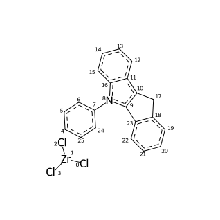 [Cl][Zr]([Cl])[Cl].c1ccc(-n2c3c(c4ccccc42)Cc2ccccc2-3)cc1